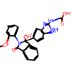 COc1ccccc1N1C(=O)c2ccccc2C1(O)c1ccc2[nH]c(NC(=O)O)nc2c1